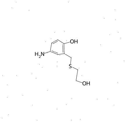 Nc1ccc(O)c(CSCCO)c1